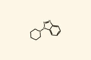 c1ccc2c(c1)nnn2N1CCCCC1